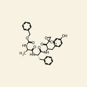 CC(NC(=O)OCc1ccccc1)C(=O)N[C@@H](Cc1ccccc1)C(=O)NC(Cc1ccc(O)cc1)C(=O)C1(C)CO1